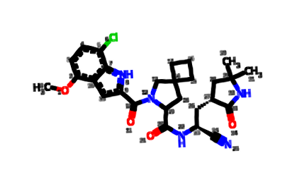 COc1ccc(Cl)c2[nH]c(C(=O)N3CC4(CCC4)CC3C(=O)N[C@H](C#N)C[C@@H]3CC(C)(C)NC3=O)cc12